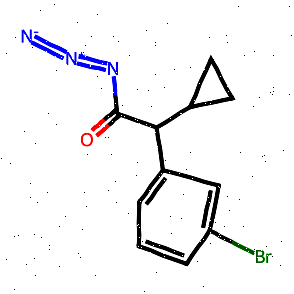 [N-]=[N+]=NC(=O)C(c1cccc(Br)c1)C1CC1